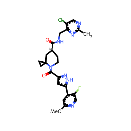 COc1cc(-c2cc(C(=O)N3CC[C@H](C(=O)NCc4nc(C)ncc4Cl)CC34CC4)n[nH]2)c(F)cn1